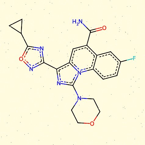 NC(=O)c1cc2c(-c3noc(C4CC4)n3)nc(N3CCOCC3)n2c2ccc(F)cc12